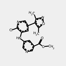 COC(=O)c1cncc(Nc2cc(-c3c(C)noc3C)cnc2Cl)c1